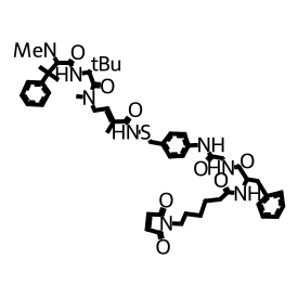 CNC(C(=O)NC(C(=O)N(C)C/C=C(\C)C(=O)NSCc1ccc(NC(=O)CNC(=O)C(Cc2ccccc2)NC(=O)CCCCCN2C(=O)C=CC2=O)cc1)C(C)(C)C)C(C)(C)c1ccccc1